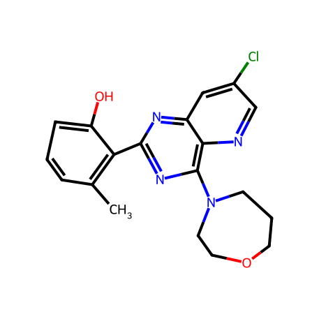 Cc1cccc(O)c1-c1nc(N2CCCOCC2)c2ncc(Cl)cc2n1